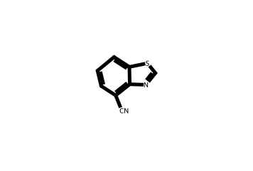 N#Cc1cccc2scnc12